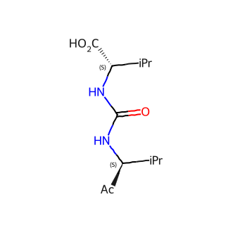 CC(=O)[C@@H](NC(=O)N[C@H](C(=O)O)C(C)C)C(C)C